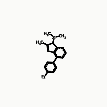 CCc1ccc(-c2cccc3c2C=C(C)[CH]3[Zr]([CH3])[CH3])cc1